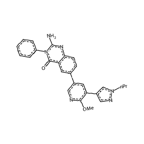 CCCn1cc(-c2cc(-c3ccc4nc(N)n(-c5ccccc5)c(=O)c4c3)cnc2OC)cn1